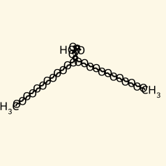 COCCOCCOCCOCCOCCOCCOCCOCCOCCOCCOCCOc1ccc(C[C@@H](C(=O)O)N2C(=O)C=CC2=O)cc1OCCOCCOCCOCCOCCOCCOCCOCCOCCOCCOCCOC